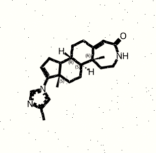 Cc1cn(C2=CCC3[C@@H]4CCC5=CC(=O)NCC[C@]5(C)[C@H]4CC[C@]23C)cn1